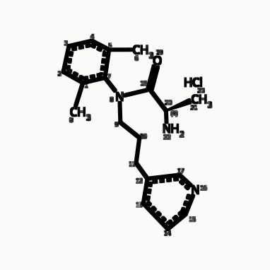 Cc1cccc(C)c1N(CCCc1cccnc1)C(=O)[C@@H](C)N.Cl